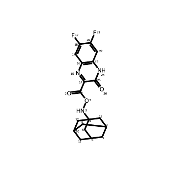 O=C(ONC12CC3CC(CC(C3)C1)C2)c1nc2cc(F)c(F)cc2[nH]c1=O